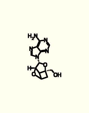 Nc1ncnc2c1ncn2[C@@H]1O[C@@]2(CO)CC3O[C@H]1C32